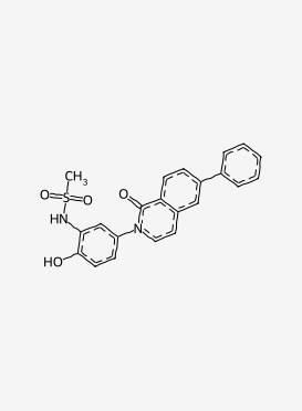 CS(=O)(=O)Nc1cc(-n2ccc3cc(-c4ccccc4)ccc3c2=O)ccc1O